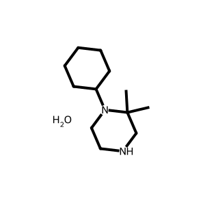 CC1(C)CNCCN1C1CCCCC1.O